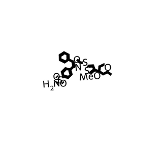 COC1(c2csc(Sc3nc(-c4ccc(S(N)(=O)=O)cc4)c(-c4ccccc4)o3)c2)CCOC(C)C1